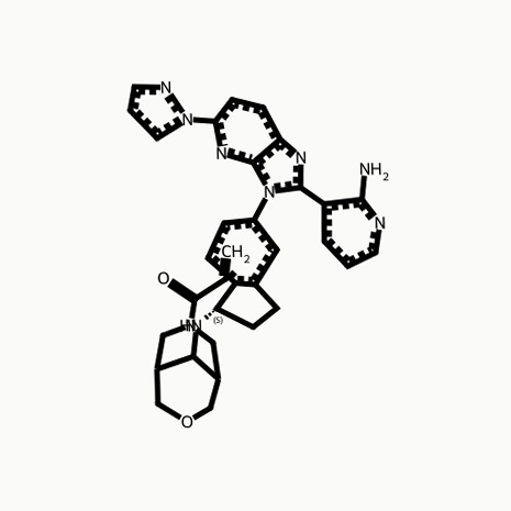 C=CC(=O)N1CC2COCC(C1)C2N[C@H]1CCc2cc(-n3c(-c4cccnc4N)nc4ccc(-n5cccn5)nc43)ccc21